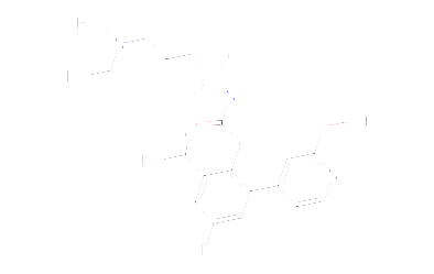 CCN(C)CCCS(=O)(=O)NC(=O)Cc1c(-c2ccnc(OC)c2)cc(F)cc1C(C)C